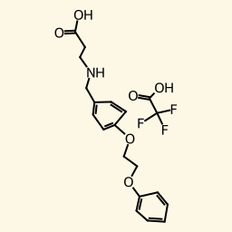 O=C(O)C(F)(F)F.O=C(O)CCNCc1ccc(OCCOc2ccccc2)cc1